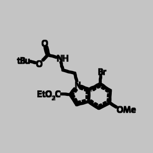 CCOC(=O)c1cc2cc(OC)cc(Br)c2n1CCNC(=O)OC(C)(C)C